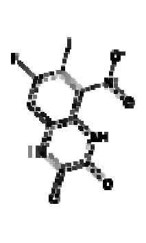 O=c1[nH]c2cc(F)c(I)c([N+](=O)[O-])c2[nH]c1=O